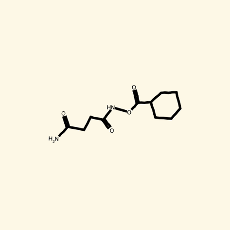 NC(=O)CCC(=O)NOC(=O)C1CCCCC1